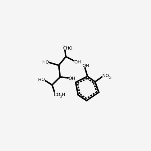 O=CC(O)C(O)C(O)C(O)C(=O)O.O=[N+]([O-])c1ccccc1O